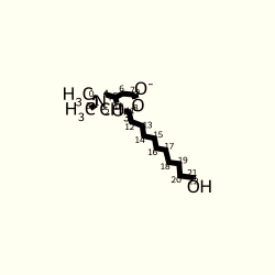 C[N+](C)(C)CC(CC(=O)[O-])OCCCCCCCCCCCO